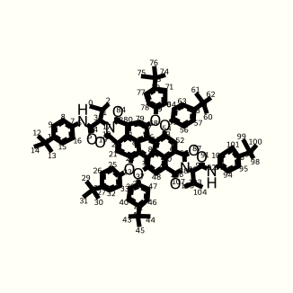 CC(C)C(C(=O)Nc1ccc(C(C)(C)C)cc1)N1C(=O)c2cc(Oc3ccc(C(C)(C)C)cc3)c3c4c(Oc5ccc(C(C)(C)C)cc5)cc5c6c(cc(Oc7ccc(C(C)(C)C)cc7)c(c7c(Oc8ccc(C(C)(C)C)cc8)cc(c2c37)C1=O)c64)C(=O)N(C(C(=O)Nc1ccc(C(C)(C)C)cc1)C(C)C)C5=O